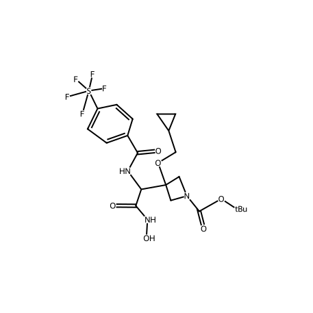 CC(C)(C)OC(=O)N1CC(OCC2CC2)(C(NC(=O)c2ccc(S(F)(F)(F)(F)F)cc2)C(=O)NO)C1